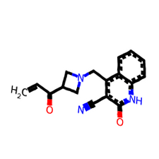 C=CC(=O)C1CN(Cc2c(C#N)c(=O)[nH]c3ccccc23)C1